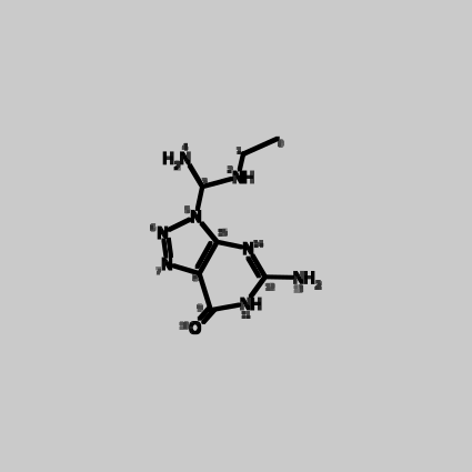 CCNC(N)n1nnc2c(=O)[nH]c(N)nc21